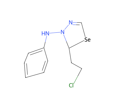 ClCCC1[Se]C=NN1Nc1ccccc1